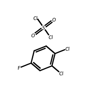 Fc1ccc(Cl)c(Cl)c1.O=S(=O)(Cl)Cl